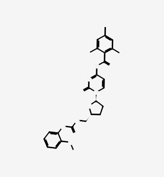 CSc1ccccc1OC(=O)OC[C@H]1O[C@@H](n2ccc(NC(=O)c3c(C)cc(C)cc3C)nc2=O)C[C@@H]1O